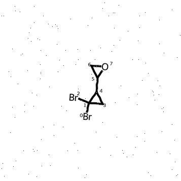 BrC1(Br)CC1C1CO1